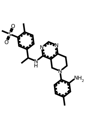 Cc1ccc(N2CCc3ncnc(NC(C)c4ccc(C)c(S(C)(=O)=O)c4)c3C2)c(N)c1